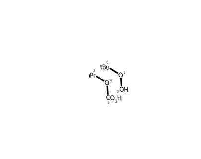 CC(C)(C)OO.CC(C)OC(=O)O